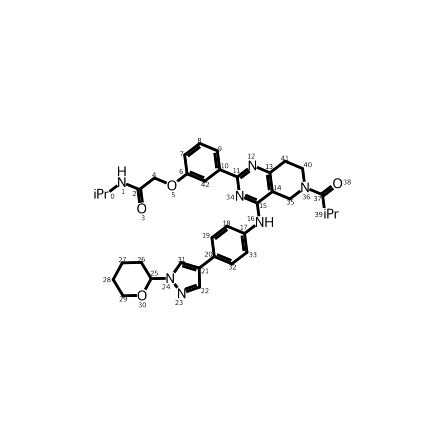 CC(C)NC(=O)COc1cccc(-c2nc3c(c(Nc4ccc(-c5cnn(C6CCCCO6)c5)cc4)n2)CN(C(=O)C(C)C)CC3)c1